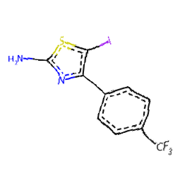 Nc1nc(-c2ccc(C(F)(F)F)cc2)c(I)s1